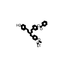 CCOC(C)Oc1ccc(C=C(C=Cc2ccc(O)cc2)C=Cc2ccc(OC(=O)c3ccccc3)cc2)cc1